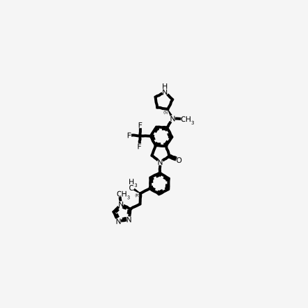 C[C@H](Cc1nncn1C)c1cccc(N2Cc3c(cc(N(C)[C@H]4CCNC4)cc3C(F)(F)F)C2=O)c1